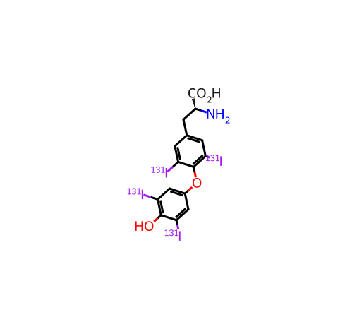 N[C@@H](Cc1cc([131I])c(Oc2cc([131I])c(O)c([131I])c2)c([131I])c1)C(=O)O